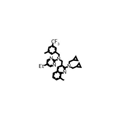 CCc1cnc(N(Cc2cc(C)cc(C(F)(F)F)c2)Cc2cc3cccc(C)c3nc2N(CC2CC2)CC2CC2)nc1